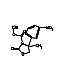 CC(C)(C)OC(=O)N1C(=O)OCC1(C)c1cccc([N+](=O)[O-])c1